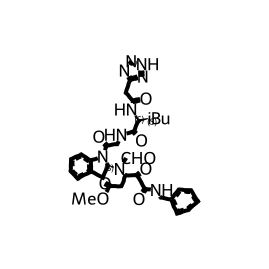 CC[C@H](C)[C@H](NC(=O)Cc1nn[nH]n1)C(=O)NCC(=O)N1c2ccccc2C[C@H]1N(C=O)C(CC(=O)OC)C(=O)C(=O)NCc1ccccc1